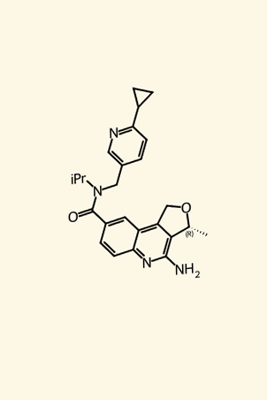 CC(C)N(Cc1ccc(C2CC2)nc1)C(=O)c1ccc2nc(N)c3c(c2c1)CO[C@@H]3C